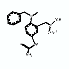 CN(Cc1ccccc1)c1ccc(NC(N)=S)cc1CN(C(=O)O)C(=O)O